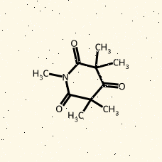 CN1C(=O)C(C)(C)C(=O)C(C)(C)C1=O